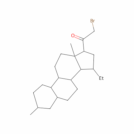 CCC1CC(C(=O)CBr)C2(C)CCC3C4CCC(C)CC4CCC3C12